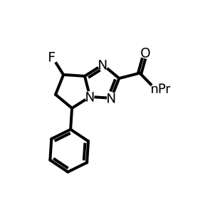 CCCC(=O)c1nc2n(n1)C(c1ccccc1)CC2F